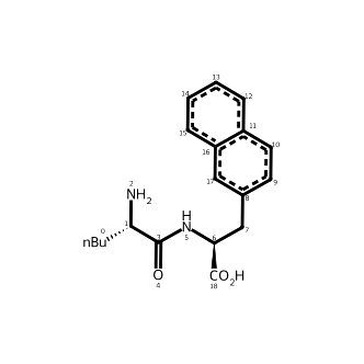 CCCC[C@H](N)C(=O)N[C@@H](Cc1ccc2ccccc2c1)C(=O)O